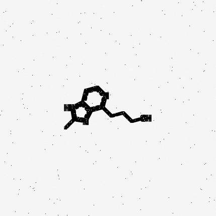 Cc1nc2c(CCCO)nccc2[nH]1